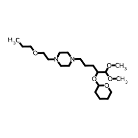 CCCOCCN1CCN(CCCC(OC2CCCCO2)C(OC)OC)CC1